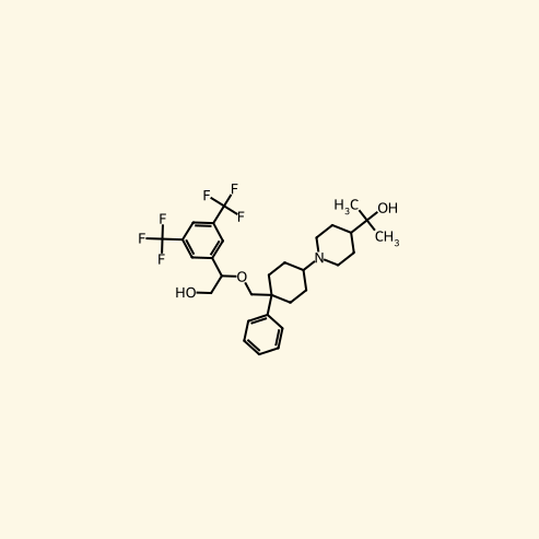 CC(C)(O)C1CCN(C2CCC(COC(CO)c3cc(C(F)(F)F)cc(C(F)(F)F)c3)(c3ccccc3)CC2)CC1